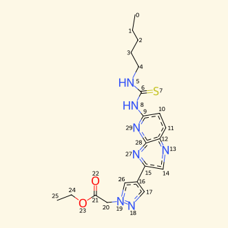 CCCCCNC(=S)Nc1ccc2ncc(-c3cnn(CC(=O)OCC)c3)nc2n1